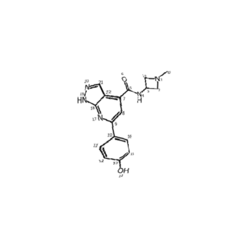 CN1CC(NC(=O)c2cc(-c3ccc(O)cc3)nc3[nH]ncc23)C1